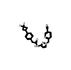 N#Cc1ccc(Cn2ccc(NC(=O)Cc3ccc(C4CC(F)(F)C4)cc3)n2)nc1